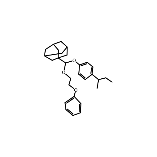 CCC(C)c1ccc(OC(OCCOc2ccccc2)C23CC4CC(CC(C4)C2)C3)cc1